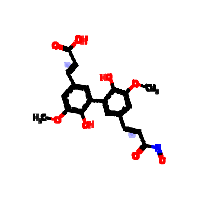 COc1cc(/C=C/C(=O)O)cc(-c2cc(/C=C/C(=O)N=O)cc(OC)c2O)c1O